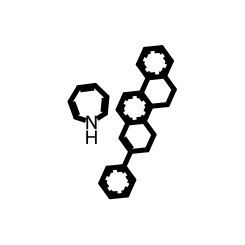 C1=C(c2ccccc2)CCc2c1ccc1c2CCc2ccccc2-1.C1=CC=CNC=C1